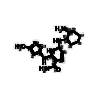 Cc1cc(NC2=C(C(N)=O)N=CC(N[C@@H]3CCCC[C@@H]3N)N2)sn1